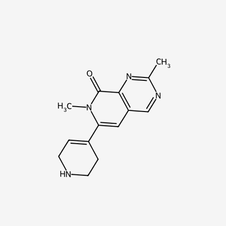 Cc1ncc2cc(C3=CCNCC3)n(C)c(=O)c2n1